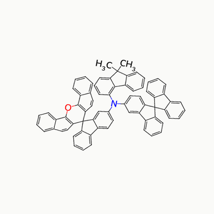 CC1(C)c2ccccc2-c2c(N(c3ccc4c(c3)-c3ccccc3C43c4ccccc4-c4ccccc43)c3ccc4c(c3)C3(c5ccccc5-4)c4ccc5ccccc5c4Oc4c3ccc3ccccc43)cccc21